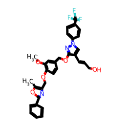 COc1cc(COc2nn(-c3ccc(C(F)(F)F)cc3)cc2C=CCO)ccc1OCc1nc(-c2ccccc2)oc1C